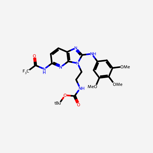 COc1cc(Nc2nc3ccc(NC(=O)C(F)(F)F)nc3n2CCNC(=O)OC(C)(C)C)cc(OC)c1OC